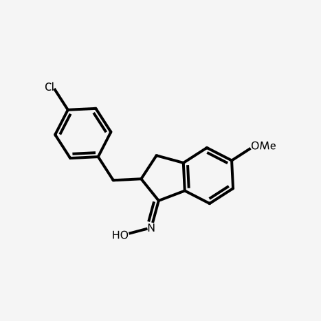 COc1ccc2c(c1)CC(Cc1ccc(Cl)cc1)C2=NO